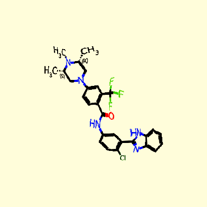 C[C@@H]1CN(c2ccc(C(=O)Nc3ccc(Cl)c(-c4nc5ccccc5[nH]4)c3)c(C(F)(F)F)c2)C[C@H](C)N1C